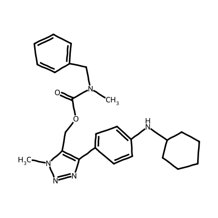 CN(Cc1ccccc1)C(=O)OCc1c(-c2ccc(NC3CCCCC3)cc2)nnn1C